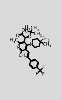 Cc1nc(C)c(C(OC(C)(C)C)C(=O)O)c(N2CCC(C)(C)CC2)c1/C=C/c1ccc(C(F)(F)F)cc1